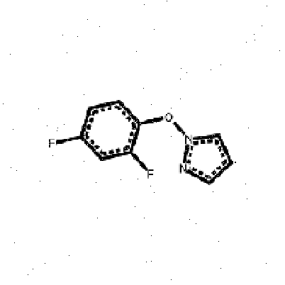 Fc1ccc(On2c[c]cn2)c(F)c1